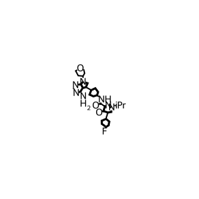 CC(C)n1cc(-c2ccc(F)cc2)c(=O)c(C(=O)Nc2ccc(-c3cn(C4CCOCC4)c4ncnc(N)c34)cc2)n1